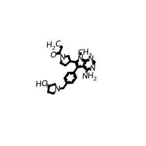 C=CC(=O)N1CCC(c2c(-c3ccc(CN4CC[C@@H](O)C4)cc3)c3c(N)ncnc3n2C)C1